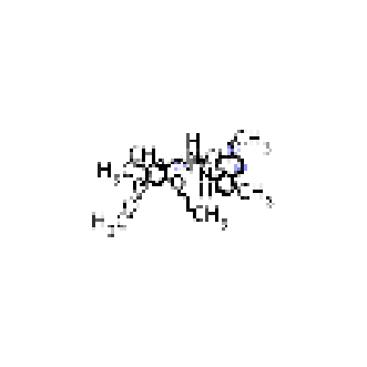 C=C(N/N=C/c1cc(C(C)C)c(OCOCC)cc1OCCCC)Nc1ccc(C)c(/C=C\C(C)=C/C)c1